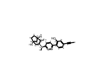 CC#Cc1ccc(-c2ccc(N(C)[C@H]3C[C@@H]4CC[C@@H](C4)[C@H]3F)nn2)c(O)c1